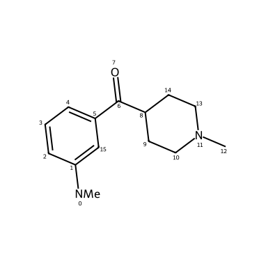 CNc1cccc(C(=O)C2CCN(C)CC2)c1